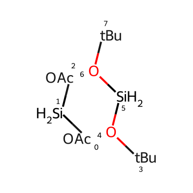 CC(=O)O[SiH2]OC(C)=O.CC(C)(C)O[SiH2]OC(C)(C)C